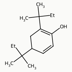 CCC(C)(C)C1=C(O)C=CC(C(C)(C)CC)C1